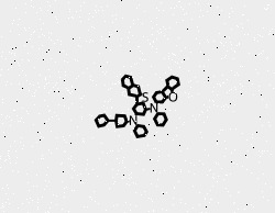 c1ccc(-c2ccc(N(c3ccccc3)c3cc(N(c4ccccc4)c4ccc5c(c4)oc4ccccc45)c4sc5cc6ccccc6cc5c4c3)cc2)cc1